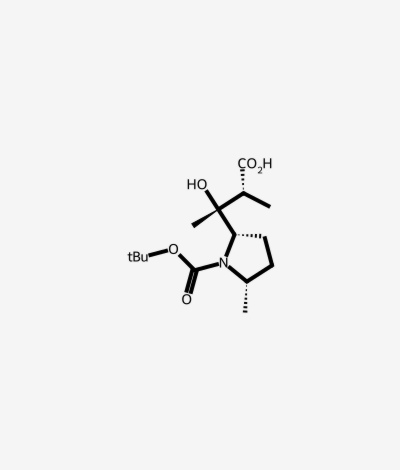 C[C@H]1CC[C@@H]([C@](C)(O)[C@@H](C)C(=O)O)N1C(=O)OC(C)(C)C